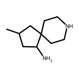 CC1CC(N)C2(CCNCC2)C1